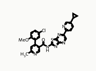 COc1ccc(Cl)cc1-c1cc(C)ncc1C(=O)Nc1nc2ncc(-c3ccc(C4CC4)cn3)nc2s1